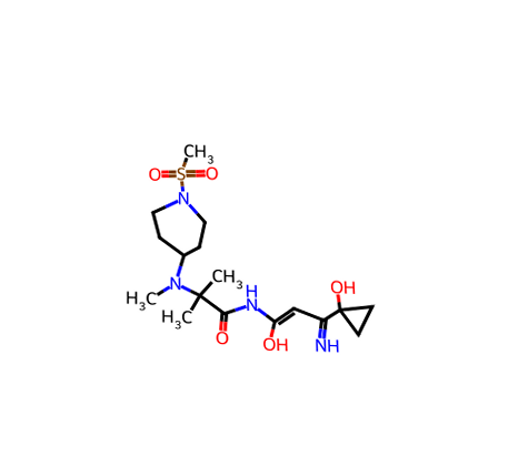 CN(C1CCN(S(C)(=O)=O)CC1)C(C)(C)C(=O)N/C(O)=C/C(=N)C1(O)CC1